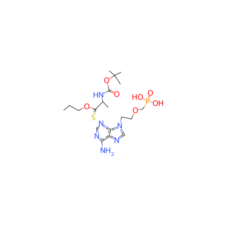 CCCOC(=S)C(C)NC(=O)OC(C)(C)C.Nc1ncnc2c1ncn2CCOCP(=O)(O)O